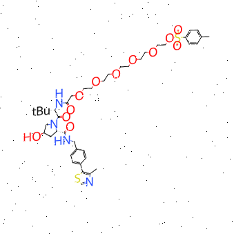 Cc1ccc(S(=O)(=O)OCCOCCOCCOCCOCCOCC(=O)N[C@H](C(=O)N2C[C@H](O)C[C@H]2C(=O)NCc2ccc(-c3scnc3C)cc2)C(C)(C)C)cc1